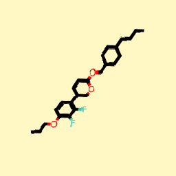 CCCCC1CCC(COC2CCC(c3ccc(OCCC)c(F)c3F)CO2)CC1